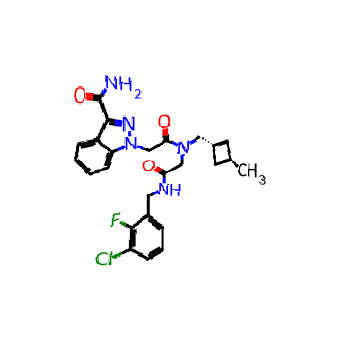 C[C@H]1C[C@H](CN(CC(=O)NCc2cccc(Cl)c2F)C(=O)Cn2nc(C(N)=O)c3ccccc32)C1